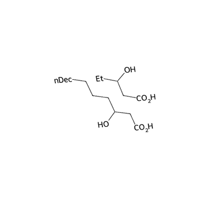 CCC(O)CC(=O)O.CCCCCCCCCCCCCC(O)CC(=O)O